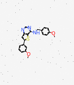 COc1ccc(CNc2ncnc3cc(-c4cccc(OC)c4)sc23)cc1